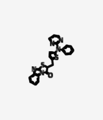 O=C1C(Cc2ccc(N(c3ccccc3)c3ncccn3)s2)Sc2nc3ccccc3n21